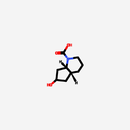 O=C(O)N1CCC[C@@H]2CC(O)C[C@@H]21